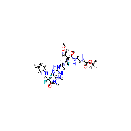 C/N=C(/C=N\C(=N)N/C(C)=C/C(F)=C(\C=C\OC)C(=O)NCCNC(=O)OC(C)(C)C)N(C)C(=O)C(F)(F)CNC1CC[C@H](C)C1